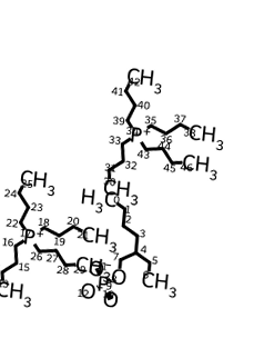 CCCCC(CC)COP(=O)([O-])[O-].CCCC[P+](CCCC)(CCCC)CCCC.CCCC[P+](CCCC)(CCCC)CCCC